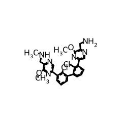 CNCc1ncc(-c2cccc(-c3cccc(-c4cnc(CN)c(OC)n4)c3Cl)c2Cl)nc1OC